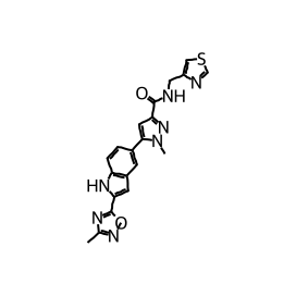 Cc1noc(-c2cc3cc(-c4cc(C(=O)NCc5cscn5)nn4C)ccc3[nH]2)n1